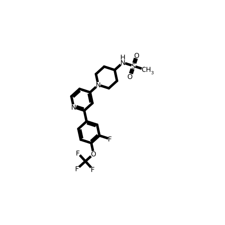 CS(=O)(=O)NC1CCN(c2ccnc(-c3ccc(OC(F)(F)F)c(F)c3)c2)CC1